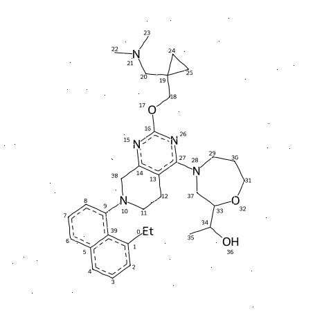 CCc1cccc2cccc(N3CCc4c(nc(OCC5(CN(C)C)CC5)nc4N4CCCOC(C(C)O)C4)C3)c12